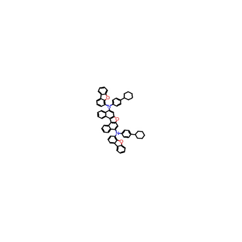 c1ccc2c(c1)oc1c(N(c3ccc(C4CCCCC4)cc3)c3cc4oc5cc(N(c6ccc(C7CCCCC7)cc6)c6cccc7c6oc6ccccc67)c6ccccc6c5c4c4ccccc34)cccc12